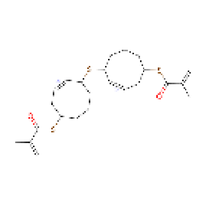 C=C(C)C(=O)SC1C/C=C\C(SC2/C=C\CC(SC(=O)C(=C)C)CCC2)CCC1